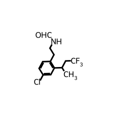 CC(CC(F)(F)F)c1cc(Cl)ccc1CCNC=O